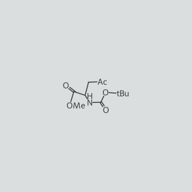 COC(=O)C(CC(C)=O)NC(=O)OC(C)(C)C